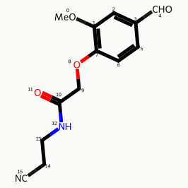 COc1cc(C=O)ccc1OCC(=O)NCCC#N